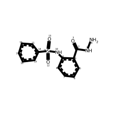 NNC(=O)c1ccccc1NS(=O)(=O)c1ccccc1